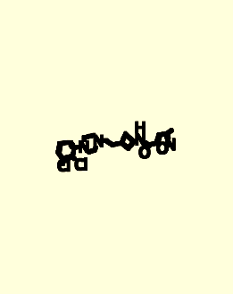 Cc1cc(C(=O)NC2CC(CCN3CCN(c4cccc(Cl)c4Cl)CC3)C2)on1